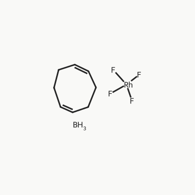 B.C1=CCCC=CCC1.[F][Rh]([F])([F])[F]